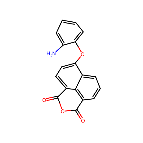 Nc1ccccc1Oc1ccc2c3c(cccc13)C(=O)OC2=O